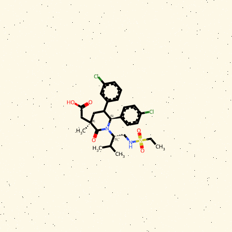 CCS(=O)(=O)NC[C@H](C(C)C)N1C(=O)[C@@](C)(CC(=O)O)CC(c2cccc(Cl)c2)[C@H]1c1ccc(Cl)cc1